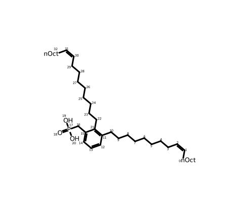 CCCCCCCC/C=C\CCCCCCCCc1cccc(CP(=O)(O)O)c1CCCCCCCC/C=C\CCCCCCCC